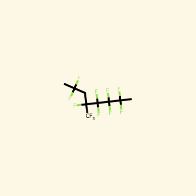 CC(F)(F)CC(F)(C(F)(F)F)C(F)(F)C(F)(F)C(C)(F)F